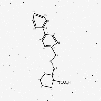 O=C(O)C1CCCCC1SCCc1ccc(-c2ccccc2)cc1